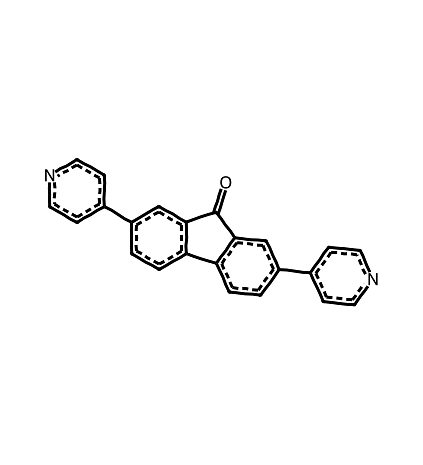 O=C1c2cc(-c3ccncc3)ccc2-c2ccc(-c3ccncc3)cc21